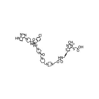 Cc1nc(SCC(=O)O)c2cc(C#CCNC(=O)COCCN3CCN(CC4CCN(CC(=O)N5CCN(CC[C@H](NC(=O)C6(N)CCN(c7ncnc8[nH]ccc78)CC6)c6ccc(Cl)cc6)CC5)CC4)CC3)sc2n1